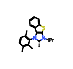 Cc1ccc(C)c(N2c3c(sc4ccccc34)N(C(C)C)[C@@H]2C)c1C